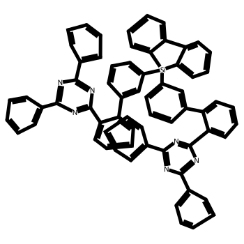 c1ccc(-c2nc(-c3ccccc3)nc(-c3ccccc3-c3cccc([Si]4(c5cccc(-c6ccccc6-c6nc(-c7ccccc7)nc(-c7ccccc7)n6)c5)c5ccccc5-c5ccccc54)c3)n2)cc1